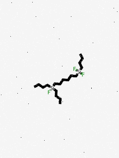 CCCC[Si](F)(F)CCCCCC[Si](F)(CCCC)CCCC